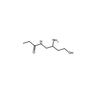 CCC(=O)NCC(N)CCO